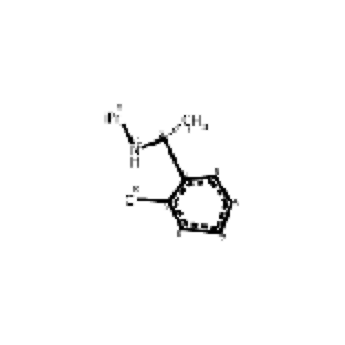 CC(C)N[C@H](C)c1ccccc1Cl